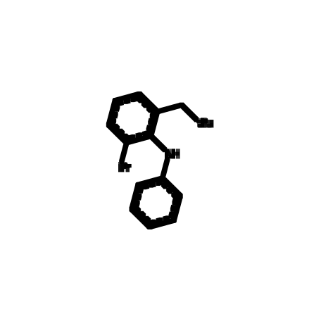 CC(C)c1cccc(CC(C)(C)C)c1Nc1ccccc1